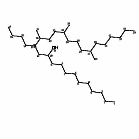 CCCCCCCCCCC(O)CN(CCCC)C(C)CCC(C)CCCC(C)CCCCCC